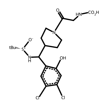 CC(C)(C)[S@+]([O-])NC(c1cc(Cl)c(Cl)cc1O)C1CCN(C(=O)CNC(=O)O)CC1